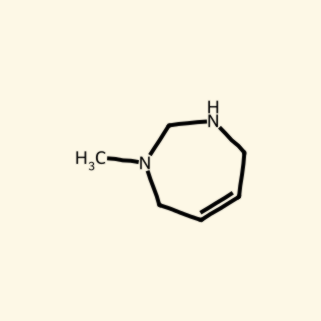 CN1CC=CCNC1